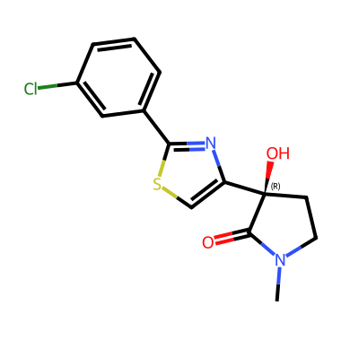 CN1CC[C@@](O)(c2csc(-c3cccc(Cl)c3)n2)C1=O